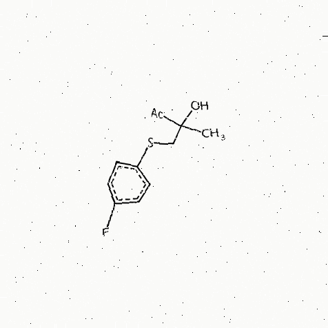 CC(=O)C(C)(O)CSc1ccc(F)cc1